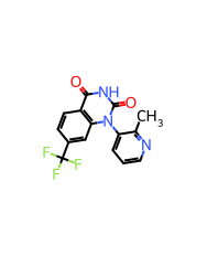 Cc1ncccc1-n1c(=O)[nH]c(=O)c2ccc(C(F)(F)F)cc21